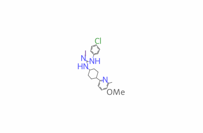 COc1ccc(C2CCC(N/C(=N/I)Nc3ccc(Cl)cc3)CC2)nc1C